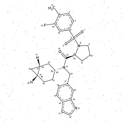 Cc1ccc(S(=O)(=O)N2CCC[C@H]2C(=O)N(Cc2ccc3scnc3c2)[C@@H]2CC[C@@H]3C[C@@H]3C2)cc1F